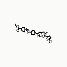 CCOC(=O)C1CCN(/C=N/c2ccc(-c3cc(CN(C)C(=O)c4ccc(Cl)s4)on3)cc2)CC1